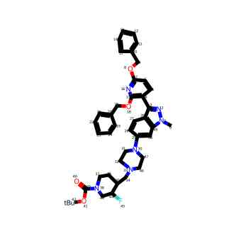 Cn1nc(-c2ccc(OCc3ccccc3)nc2OCc2ccccc2)c2ccc(N3CCN(CC4CCN(C(=O)OC(C)(C)C)CC4F)CC3)cc21